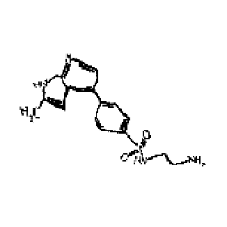 Cc1cc2c(-c3ccc(S(=O)(=O)NCCN)cc3)ccnc2[nH]1